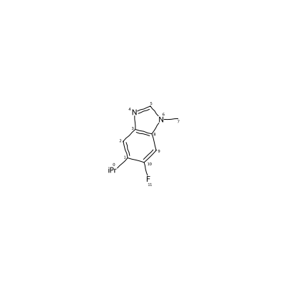 CC(C)c1cc2ncn(C)c2cc1F